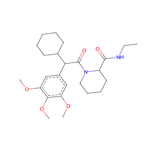 CCNC(=O)C1CCCCN1C(=O)C(c1cc(OC)c(OC)c(OC)c1)C1CCCCC1